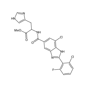 COC(=O)C(Cc1c[nH]cn1)NC(=O)c1cc(Cl)c2[nH]c(-c3c(F)cccc3Cl)nc2c1